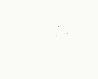 c1ccc(-c2cc(-c3nc(-c4ccc5ccccc5c4)nc(-c4ccc5c(ccc6c7ccccc7ccc56)c4)n3)c3c(c2)oc2ccccc23)cc1